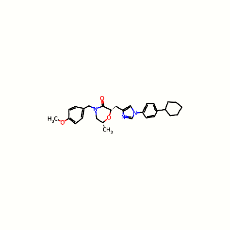 COc1ccc(CN2C[C@@H](C)O[C@@H](Cc3cn(-c4ccc(C5CCCCC5)cc4)cn3)C2=O)cc1